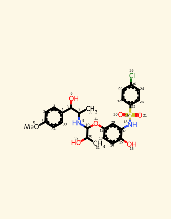 COc1ccc(C(O)C(C)NC(Oc2ccc(O)c(NS(=O)(=O)c3ccc(Cl)cc3)c2)C(C)O)cc1